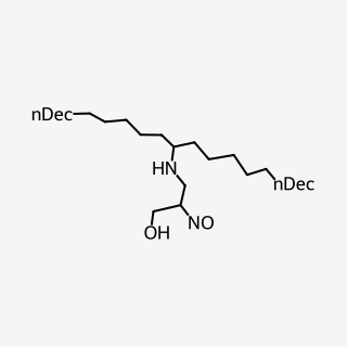 CCCCCCCCCCCCCCCC(CCCCCCCCCCCCCCC)NCC(CO)N=O